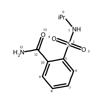 CC(C)NS(=O)(=O)c1ccccc1C(N)=O